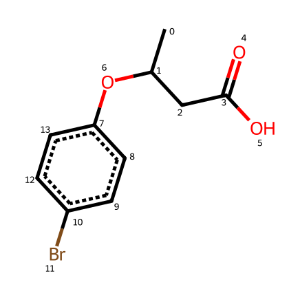 CC(CC(=O)O)Oc1ccc(Br)cc1